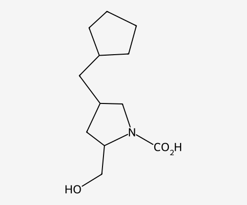 O=C(O)N1CC(CC2CCCC2)CC1CO